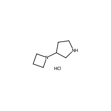 C1CN(C2CCNC2)C1.Cl